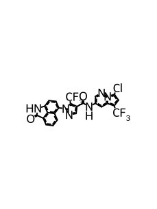 O=C(Nc1cnn2c(Cl)cc(C(F)(F)F)c2c1)c1cnn(-c2ccc3c4c(cccc24)C(=O)N3)c1C(F)(F)F